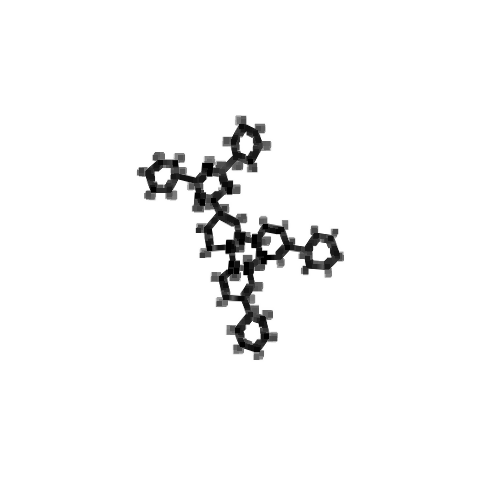 C1=CC(c2ccccc2)=CN2B3C=C(c4ccccc4)C=CN3B3C=CC(c4nc(-c5ccccc5)nc(-c5ccccc5)n4)=CN3B12